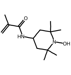 C=C(C)C(=O)NC1CC(C)(C)N(O)C(C)(C)C1